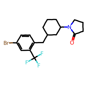 O=C1CCCN1C1CCCC(Cc2ccc(Br)cc2C(F)(F)F)C1